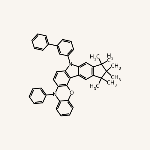 CC1(C)c2cc3c4c5c(ccc4n(-c4cccc(-c6ccccc6)c4)c3cc2C(C)(C)C1(C)C)N(c1ccccc1)c1ccccc1O5